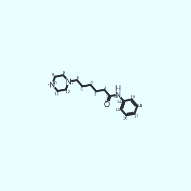 O=C(CCCCCN1CC[N]CC1)Nc1ccccc1